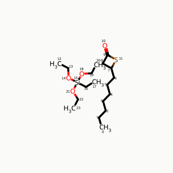 CCCCCCCC1CC(=O)S1.CCO[Si](CC)(OCC)OCC